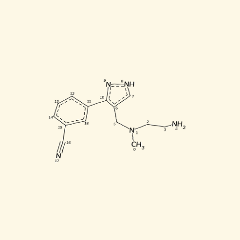 CN(CCN)Cc1c[nH]nc1-c1cccc(C#N)c1